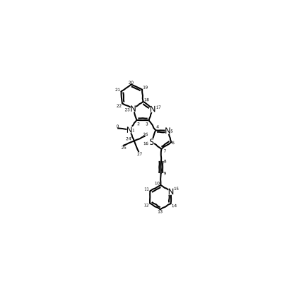 CN(c1c(-c2ncc(C#Cc3ccccn3)s2)nc2ccccn12)C(C)(C)C